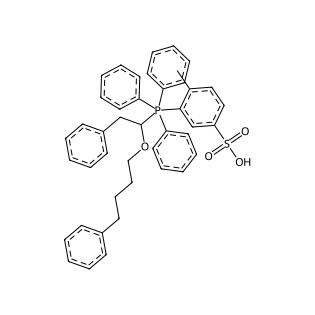 Cc1ccc(S(=O)(=O)O)cc1P(c1ccccc1)(c1ccccc1)(c1ccccc1)C(Cc1ccccc1)OCCCCc1ccccc1